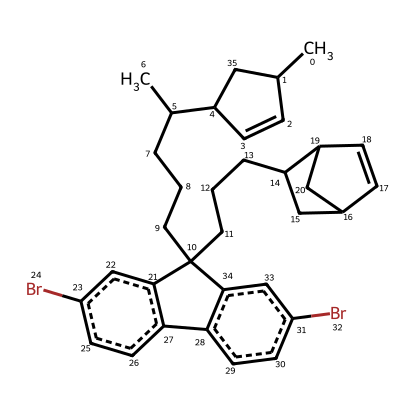 CC1C=CC(C(C)CCCC2(CCCC3CC4C=CC3C4)c3cc(Br)ccc3-c3ccc(Br)cc32)C1